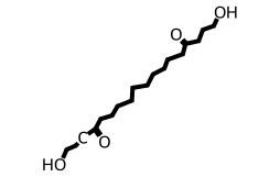 O=C(CCCO)CCCCCCCCCCC(=O)CCCO